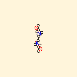 Cc1cc(-c2ccc(N(c3ccccc3)c3c(C)cccc3-c3ccc4oc5ccccc5c4c3)c(C)c2)ccc1N(c1ccccc1)c1c(C)cccc1-c1ccc2oc3ccccc3c2c1